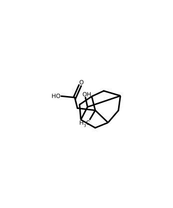 CC1(CC(=O)O)C2CC3CC1CC(C2)C3O